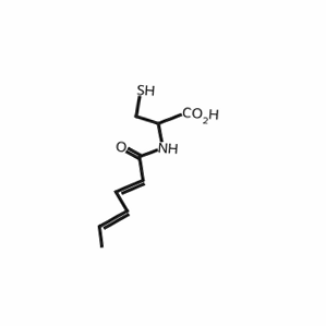 C/C=C/C=C/C(=O)NC(CS)C(=O)O